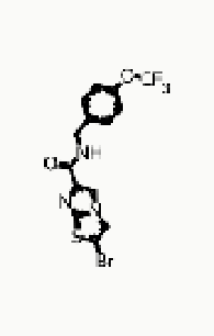 O=C(NCc1ccc(OC(F)(F)F)cc1)c1cn2cc(Br)sc2n1